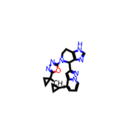 CC1(c2nnc(N3CCc4[nH]cnc4C3c3cc4c(C5CC5)cccn4n3)o2)CC1